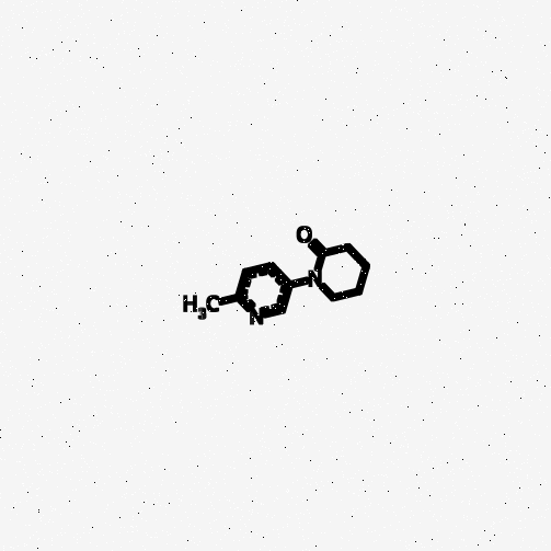 Cc1ccc(N2CCCCC2=O)cn1